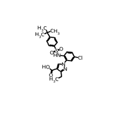 CCc1nn(-c2cc(Cl)ccc2NS(=O)(=O)c2ccc(C(C)(C)C)cc2)cc1C(=O)O